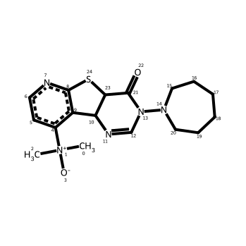 C[N+](C)([O-])c1ccnc2c1C1N=CN(N3CCCCCC3)C(=O)C1S2